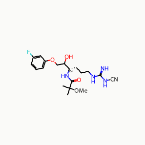 COC(C)(C)C(=O)N[C@@H](CCCNC(=N)NC#N)C(O)COc1cccc(F)c1